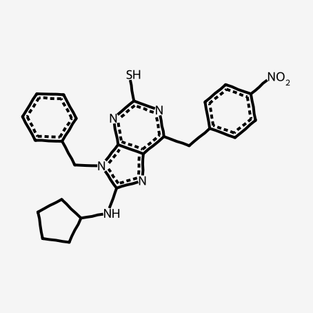 O=[N+]([O-])c1ccc(Cc2nc(S)nc3c2nc(NC2CCCC2)n3Cc2ccccc2)cc1